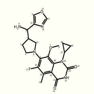 COc1c(N2CCC(C(N)c3cocn3)C2)c(F)c(C)c2c(=O)[nH]c(=O)n(C3CC3)c12